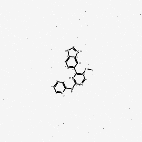 COc1cnc(Nc2cc[c]cn2)nc1-c1ccc2scnc2c1